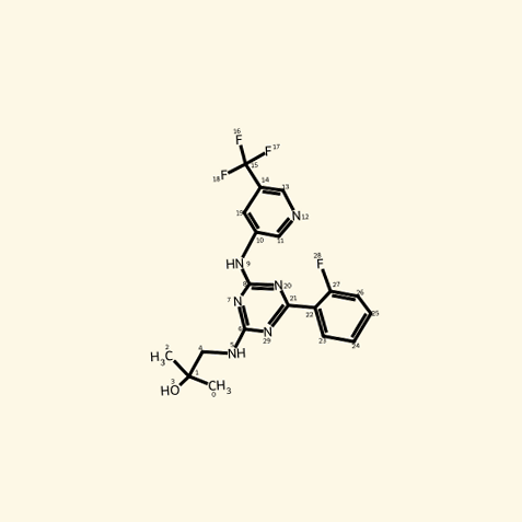 CC(C)(O)CNc1nc(Nc2cncc(C(F)(F)F)c2)nc(-c2ccccc2F)n1